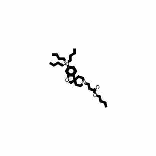 CCCCOC(=O)CCN1CCC2(CC1)COc1c[c]([Sn]([CH2]CCC)([CH2]CCC)[CH2]CCC)ccc12